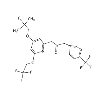 CC(C)(F)COc1cc(CC(=O)Cc2ccc(C(F)(F)F)cc2)nc(OCC(F)(F)F)c1